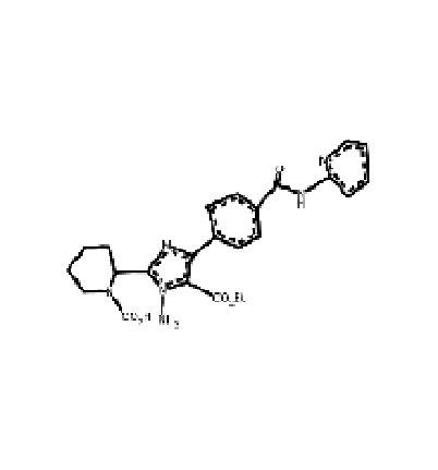 CCOC(=O)c1c(-c2ccc(C(=O)Nc3ccccn3)cc2)nc(C2CCCCN2C(=O)O)n1N